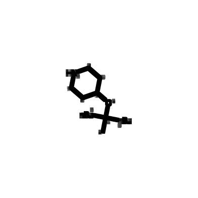 CCCCC(C)(CCCC)OC1CCNCC1